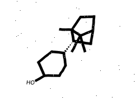 CC1(C)C2CCC1(C)[C@@H](C1CCC(O)CC1)C2